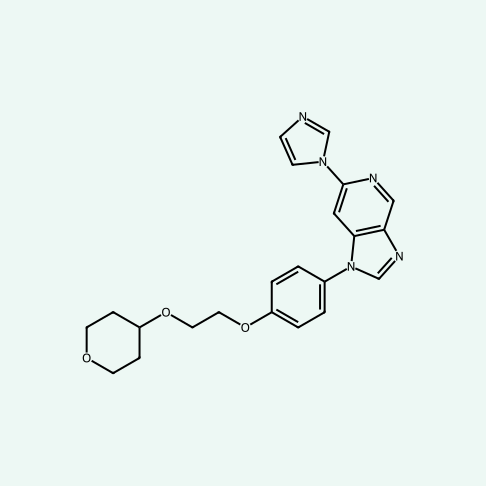 c1cn(-c2cc3c(cn2)ncn3-c2ccc(OCCOC3CCOCC3)cc2)cn1